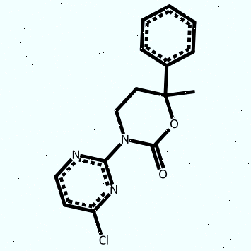 CC1(c2ccccc2)CCN(c2nccc(Cl)n2)C(=O)O1